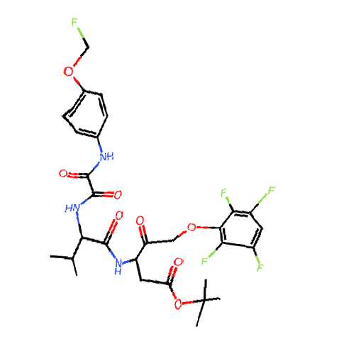 CC(C)C(NC(=O)C(=O)Nc1ccc(OCF)cc1)C(=O)NC(CC(=O)OC(C)(C)C)C(=O)COc1c(F)c(F)cc(F)c1F